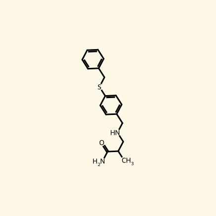 CC(CNCc1ccc(SCc2ccccc2)cc1)C(N)=O